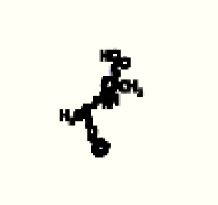 Cc1c(/C=C/C(=O)O)ccc2c1nnn2CCCN(C)CCOCc1ccccc1